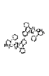 Cc1nc2c3ccccc3c3ccc(-c4ccc5c6ccccc6c6nc(C)c(-c7ccccc7-c7ccccc7)n6c5c4)cc3n2c1-c1ccccc1-c1ccccc1